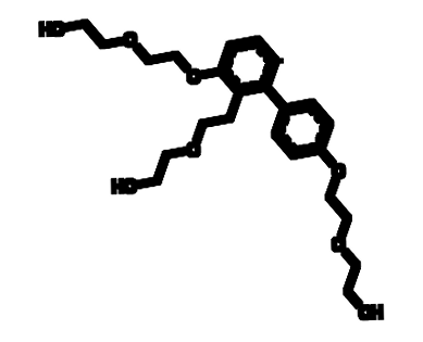 OCCOCCOc1ccc(-c2[c]ccc(OCCOCCO)c2CCOCCO)cc1